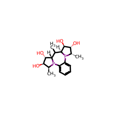 CC1[C@H]2[C@@H](O)[C@H](O)[C@H](C)P2c2ccccc2P2[C@@H](C)[C@@H](O)[C@H](O)[C@H]12